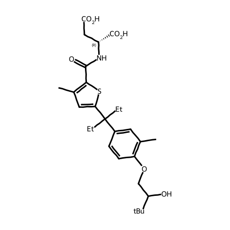 CCC(CC)(c1ccc(OCC(O)C(C)(C)C)c(C)c1)c1cc(C)c(C(=O)N[C@H](CC(=O)O)C(=O)O)s1